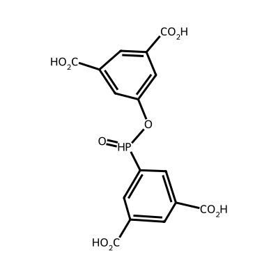 O=C(O)c1cc(O[PH](=O)c2cc(C(=O)O)cc(C(=O)O)c2)cc(C(=O)O)c1